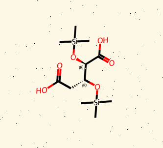 C[Si](C)(C)O[C@H](CC(=O)O)[C@@H](O[Si](C)(C)C)C(=O)O